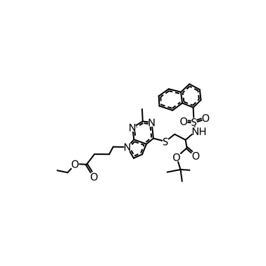 CCOC(=O)CCCn1ccc2c(SCC(NS(=O)(=O)c3cccc4ccccc34)C(=O)OC(C)(C)C)nc(C)nc21